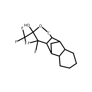 OC1(C(F)(F)F)OCC2C3CC(C4CCCCC34)C2C1(F)F